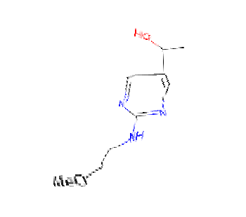 COCCNc1ncc(C(C)O)cn1